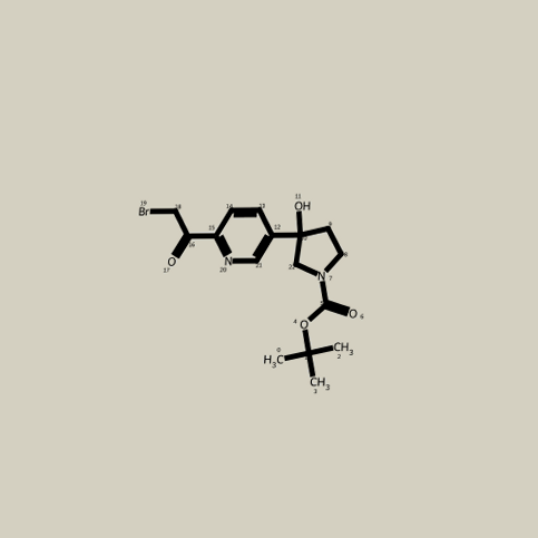 CC(C)(C)OC(=O)N1CCC(O)(c2ccc(C(=O)CBr)nc2)C1